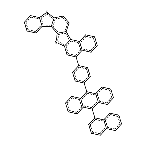 c1ccc2c(-c3c4ccccc4c(-c4ccc(-c5cc6sc7c(ccc8sc9ccccc9c87)c6c6ccccc56)cc4)c4ccccc34)cccc2c1